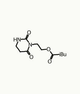 CCC(C)C(=O)OCCN1C(=O)CCNC1=O